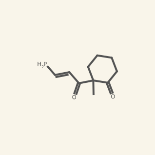 CC1(C(=O)/C=C/P)CCCCC1=O